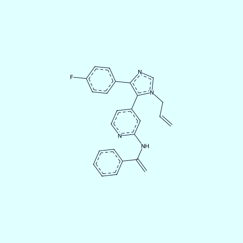 C=CCn1cnc(-c2ccc(F)cc2)c1-c1ccnc(NC(=C)c2ccccc2)c1